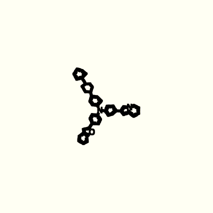 c1ccc(C2CCC(c3ccc(N(c4ccc(-c5cc6ccccn6c5)cc4)c4ccc(-c5cc6ccccc6o5)cc4)cc3)CC2)cc1